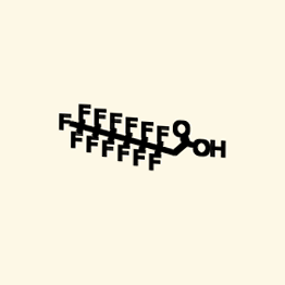 O=C(O)CC(F)(F)C(F)(F)C(F)(F)C(F)(F)C(F)(F)C(F)(F)F